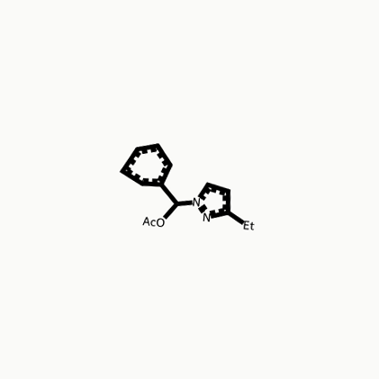 CCc1ccn(C(OC(C)=O)c2ccccc2)n1